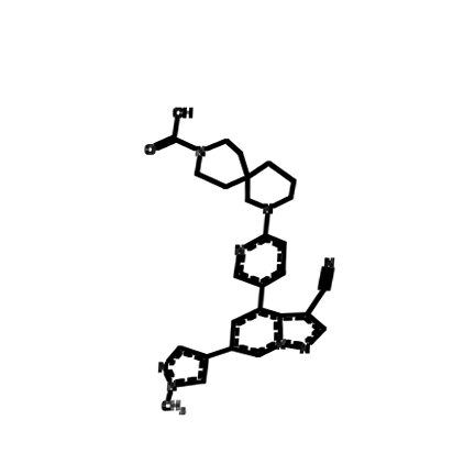 Cn1cc(-c2cc(-c3ccc(N4CCCC5(CCN(C(=O)O)CC5)C4)nc3)c3c(C#N)cnn3c2)cn1